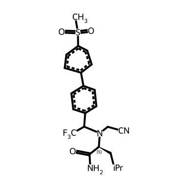 CC(C)C[C@@H](C(N)=O)N(CC#N)C(c1ccc(-c2ccc(S(C)(=O)=O)cc2)cc1)C(F)(F)F